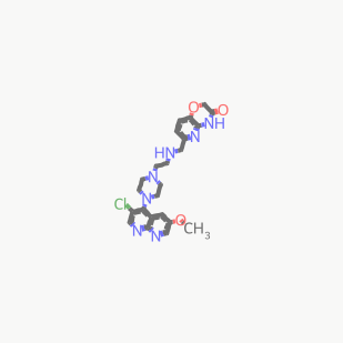 COc1cnc2ncc(Cl)c(N3CCN(CCNCc4ccc5c(n4)NC(=O)CO5)CC3)c2c1